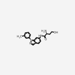 Cc1cccc(-n2ncc3ccc(NC(=O)[C@@H](N)CCO)cc32)c1